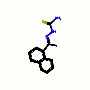 C/C(=N\NC(N)=S)c1cccc2ccccc12